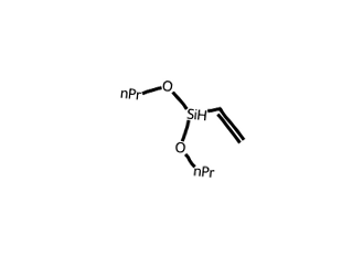 C=C[SiH](OCCC)OCCC